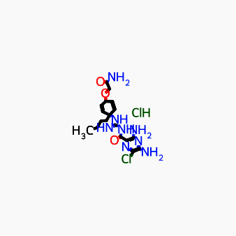 CCCCC1(NC(=N)NC(=O)c2nc(Cl)c(N)nc2N)C=CC(OCC(N)=O)C=C1.Cl